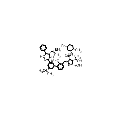 COc1c(CN2O[C@@H](CO)[C@@H]([C@H](C)O)[C@H]2C(=O)N[C@H]2C[C@H](C(C)C)CC[C@@H]2C)cccc1C1C=C(C(=O)N[C@@H](CN(C)C)[C@@H](O)c2ccccc2)C=C(N(C)C)C1